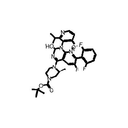 Cc1ccnc(C(C)C)c1N1c2c(cc(F)c(-c3c(F)cccc3F)[n+]2[O-])C(N2CCN(C(=O)OC(C)(C)C)C[C@@H]2C)=NC1O